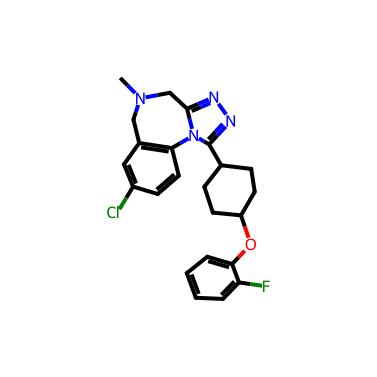 CN1Cc2cc(Cl)ccc2-n2c(nnc2C2CCC(Oc3ccccc3F)CC2)C1